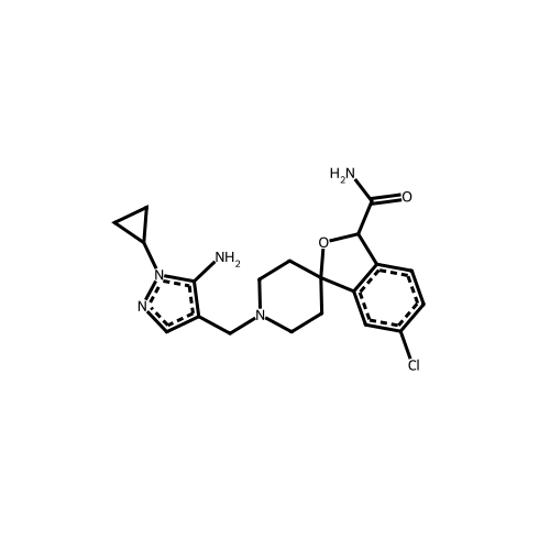 NC(=O)C1OC2(CCN(Cc3cnn(C4CC4)c3N)CC2)c2cc(Cl)ccc21